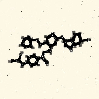 O=C(COc1cc(Cn2cnc3cc(I)cnc32)ccc1OCc1ccccc1)c1ccc(OC(F)F)cc1